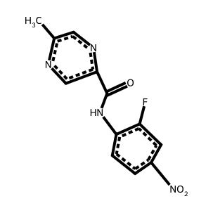 Cc1cnc(C(=O)Nc2ccc([N+](=O)[O-])cc2F)cn1